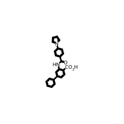 O=C(Nc1cc(-c2ccccc2)ccc1C(=O)O)c1ccc(-n2cccc2)cc1